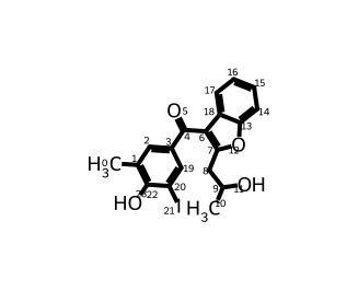 Cc1cc(C(=O)c2c(CC(C)O)oc3ccccc23)cc(I)c1O